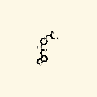 CCCC=C(CC)CN1CCC(NC(=O)Cc2cccc3occc23)CC1